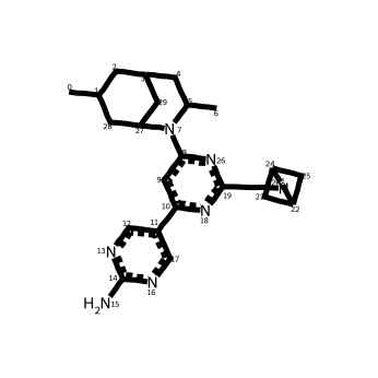 CC1CC2CC(C)N(c3cc(-c4cnc(N)nc4)nc(N4CC5CC4C5)n3)C(C1)C2